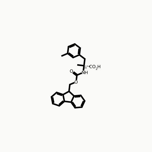 Cc1cccc(C[C@](C)(NC(=O)OCC2c3ccccc3-c3ccccc32)C(=O)O)c1